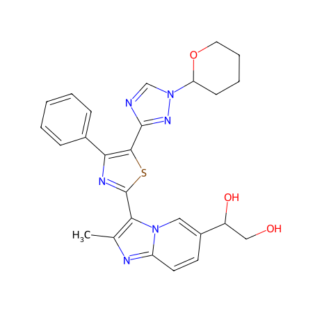 Cc1nc2ccc(C(O)CO)cn2c1-c1nc(-c2ccccc2)c(-c2ncn(C3CCCCO3)n2)s1